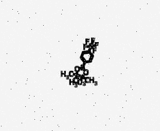 CC1(C)OB(c2ccc(S(F)(F)(F)(F)F)cc2)OC1(C)C